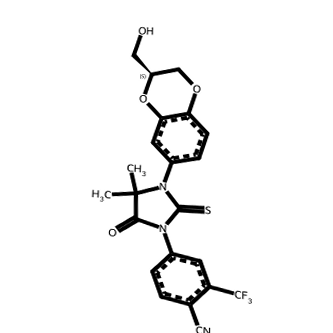 CC1(C)C(=O)N(c2ccc(C#N)c(C(F)(F)F)c2)C(=S)N1c1ccc2c(c1)O[C@@H](CO)CO2